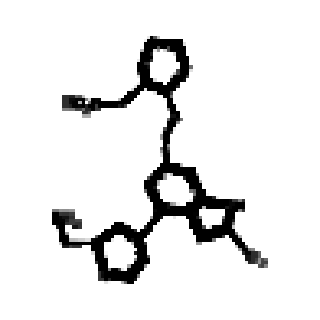 NCc1cc(-c2cc(COc3ccccc3CC(=O)O)cc3[nH]c(C(F)(F)F)cc23)ccn1